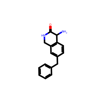 NC1C(=O)NCc2cc(Cc3ccccc3)ccc21